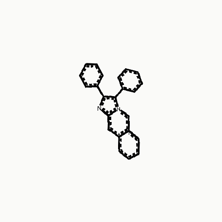 c1ccc(-c2nc3cc4ccccc4cn3c2-c2ccccc2)cc1